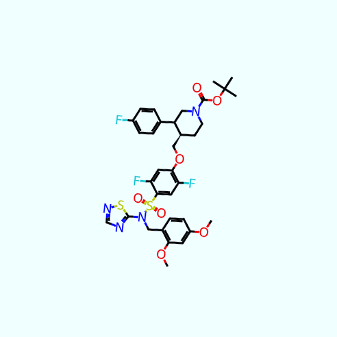 COc1ccc(CN(c2ncns2)S(=O)(=O)c2cc(F)c(OC[C@@H]3CCN(C(=O)OC(C)(C)C)CC3c3ccc(F)cc3)cc2F)c(OC)c1